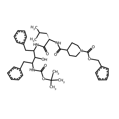 CC(C)C[C@H](NC(=O)C1CCN(C(=O)OCc2ccccc2)CC1)C(=O)NC(Cc1ccccc1)C(O)C(Cc1ccccc1)NC(=O)OC(C)(C)C